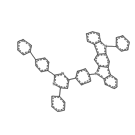 c1ccc(-c2ccc(-c3nc(-c4ccccc4)cc(-c4ccc(-n5c6ccccc6c6cc7c(cc65)c5ccccc5n7-c5ccccc5)cc4)n3)cc2)cc1